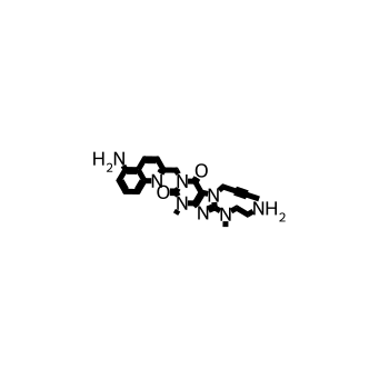 CC#CCn1c(N(C)CCN)nc2c1c(=O)n(Cc1ccc3c(N)cccc3n1)c(=O)n2C